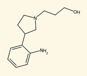 Nc1ccccc1C1CCN(CCCO)C1